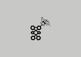 CC1(C)OB(c2ccc3c(c2)-c2ccccc2C32c3ccccc3C(c3ccccc3)(c3ccccc3)c3ccccc32)OC1(C)C